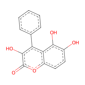 O=c1oc2ccc(O)c(O)c2c(-c2ccccc2)c1O